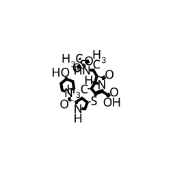 C[C@@H](NS(C)(=O)=O)[C@H]1C(=O)N2C(C(=O)O)=C(S[C@@H]3CN[C@H](C(=O)N4CCC(O)CC4)C3)[C@H](C)[C@H]12